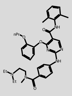 CCCOc1ccccc1Oc1nc(Nc2ccc(C(=O)N(C)CCN(CC)CC)cc2)ncc1C(=O)Nc1c(C)cccc1C